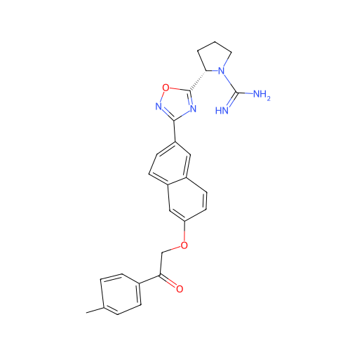 Cc1ccc(C(=O)COc2ccc3cc(-c4noc([C@@H]5CCCN5C(=N)N)n4)ccc3c2)cc1